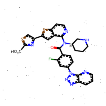 O=C(O)c1nc(-c2cc3c(N(C(=O)c4ccc(-n5nnc6cccnc65)cc4F)[C@@H]4CCCNC4)nccc3s2)cs1